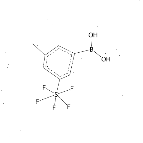 Cc1cc(B(O)O)cc(S(F)(F)(F)(F)F)c1